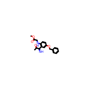 COC(=O)CNc1ccc(OCc2ccccc2)cc1C(=N)C(C)=O